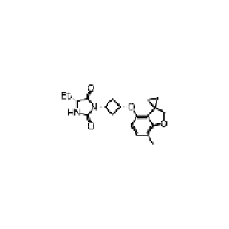 CC[C@H]1NC(=O)N([C@H]2C[C@@H](Oc3ccc(C)c4c3C3(CC3)CO4)C2)C1=O